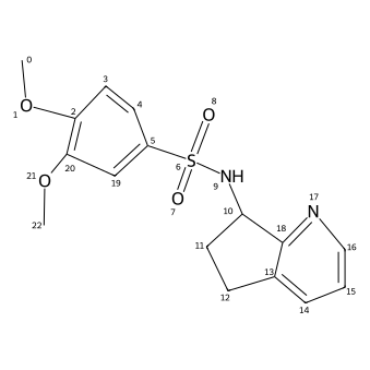 COc1ccc(S(=O)(=O)NC2CCc3cccnc32)cc1OC